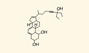 CCC(O)(C#CCCC(C)C1=CC[C@H]2C3=CC=C4CC(O)CC(O)[C@]4(C)[C@H]3CC[C@]12C)CC